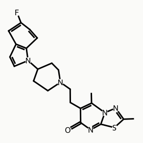 Cc1nn2c(C)c(CCN3CCC(n4ccc5cc(F)ccc54)CC3)c(=O)nc2s1